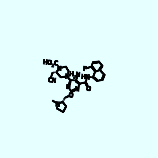 CN1CCC[C@H]1COc1nc(C(=O)Nc2cccc3cccc(F)c23)c(N)c(N2CCN(C(=O)O)[C@@H](CC#N)C2)n1